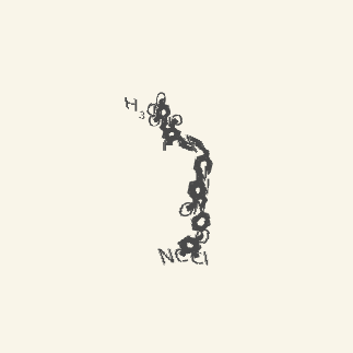 CN1C(=O)CCC(N2Cc3cc(F)c(N4CCN(CC5CCN(c6ccc7c(n6)CN([C@H]6CC[C@H](Oc8ccc(C#N)c(Cl)c8)CC6)C7=O)CC5)CC4)cc3C2=O)C1=O